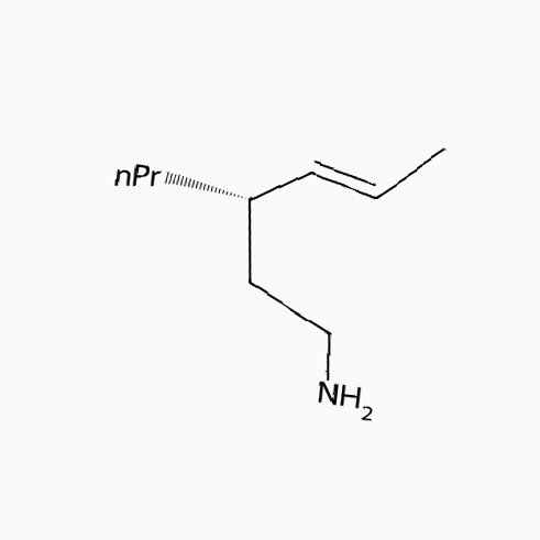 CC=C[C@@H](CCC)CCN